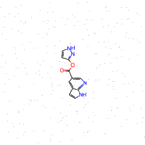 O=C(Oc1cc[nH]n1)c1cnc2[nH]ccc2c1